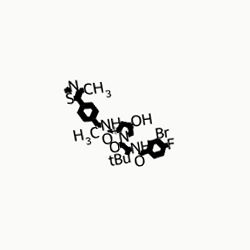 Cc1ncsc1-c1ccc(C(C)NC(=O)[C@@H]2C[C@@H](O)CN2C(=O)C(NC(=O)c2ccc(F)c(Br)c2)C(C)(C)C)cc1